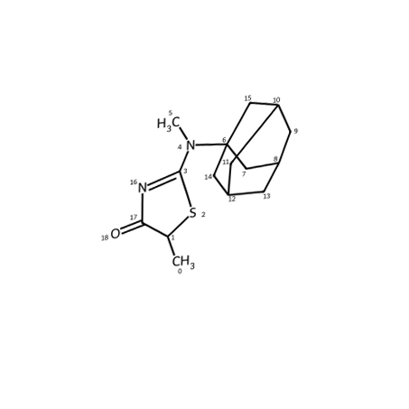 CC1SC(N(C)C23CC4CC(CC(C4)C2)C3)=NC1=O